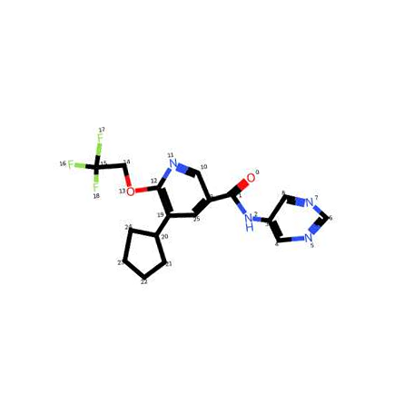 O=C(Nc1cncnc1)c1cnc(OCC(F)(F)F)c(C2CCCC2)c1